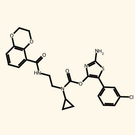 Nc1nc(OC(=O)N(CCNC(=O)c2cccc3c2OCCO3)C2CC2)c(-c2cccc(Cl)c2)s1